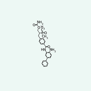 CP(C)(=O)C(COC(N)=O)Cc1ccc(C(=O)Nc2cc(-c3ccccc3)ccc2N)cc1